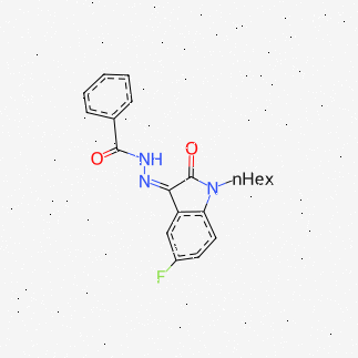 CCCCCCN1C(=O)C(=NNC(=O)c2ccccc2)c2cc(F)ccc21